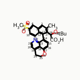 Cc1cc2cc(S(C)(=O)=O)ccc2c(-c2ccc3c4c(ccnc24)CCO3)c1C(OC(C)(C)C)C(=O)O